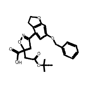 CC(C)(C)OC(=O)CC1(C(=O)O)CC(c2cc(OCc3ccccc3)cc3c2CCO3)=NO1